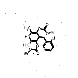 CC1=C(OC(=O)OC(C)C)C(Cc2ccccc2Cl)C(OC(=O)OC(C)C)=C(C)N1